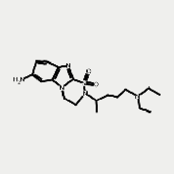 CCN(CC)CCCC(C)N1CCn2c(nc3ccc(N)cc32)S1(=O)=O